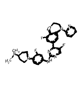 CN(C)C1CCN(c2ccc(Nc3ncc(F)c(-c4cc(F)c5c(c4)N(c4ccccn4)CCO5)n3)cc2F)CC1